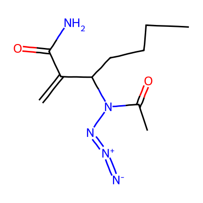 C=C(C(N)=O)C(CCCC)N(N=[N+]=[N-])C(C)=O